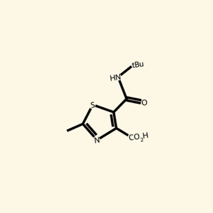 Cc1nc(C(=O)O)c(C(=O)NC(C)(C)C)s1